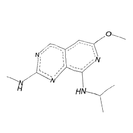 CNc1ncc2cc(OC)nc(NC(C)C)c2n1